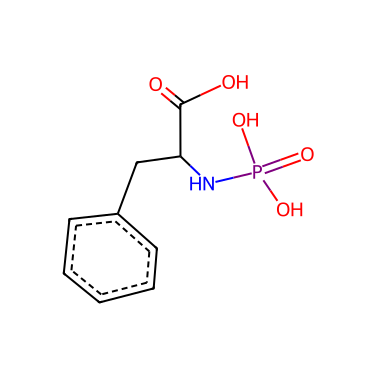 O=C(O)C(Cc1ccccc1)NP(=O)(O)O